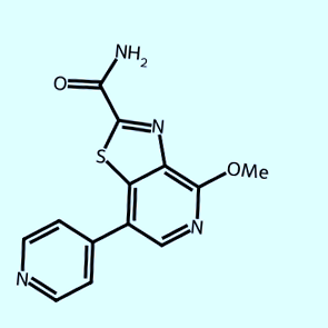 COc1ncc(-c2ccncc2)c2sc(C(N)=O)nc12